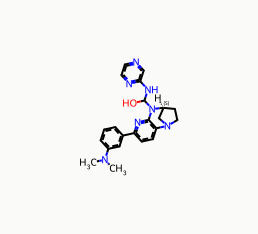 CN(C)c1cccc(-c2ccc3c(n2)N(C(O)Nc2cnccn2)[C@H]2CCN3C2)c1